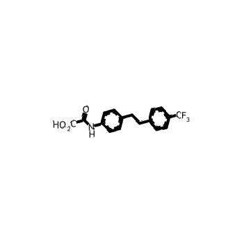 O=C(O)C(=O)Nc1ccc(CCc2ccc(C(F)(F)F)cc2)cc1